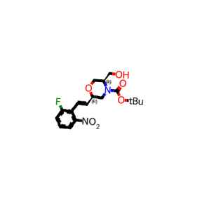 CC(C)(C)OC(=O)N1C[C@@H](C=Cc2c(F)cccc2[N+](=O)[O-])OC[C@H]1CO